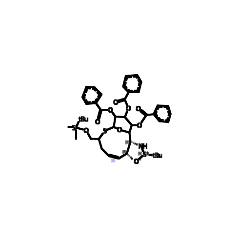 C[C@@H]1/C=C\CC(CO[Si](C)(C)C(C)(C)C)SC2OC(C(OC(=O)c3ccccc3)C(OC(=O)c3ccccc3)C2OC(=O)c2ccccc2)[C@@H]1N[S@+]([O-])C(C)(C)C